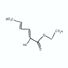 O=C(O)C=CC=C(O)C(=O)OCC(=O)O